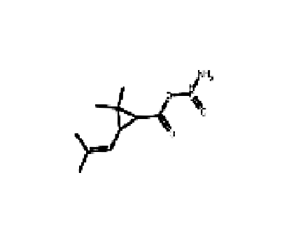 CC(C)=CC1C(C(=O)O[PH](N)=O)C1(C)C